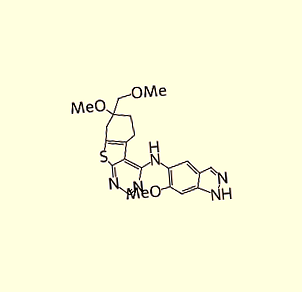 COCC1(OC)CCc2c(sc3ncnc(Nc4cc5cn[nH]c5cc4OC)c23)C1